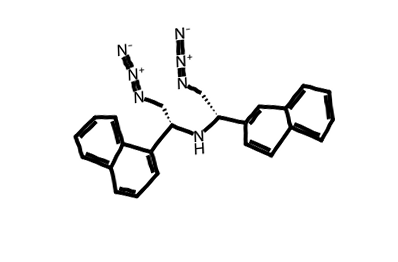 [N-]=[N+]=NC[C@H](N[C@H](CN=[N+]=[N-])c1ccc2ccccc2c1)c1cccc2ccccc12